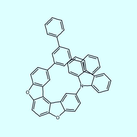 c1ccc(-c2cc(-c3ccccc3)cc(-c3ccc4oc5ccc6oc7ccc(-n8c9ccccc9c9ccccc98)cc7c6c5c4c3)c2)cc1